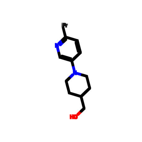 CC(C)c1ccc(N2CCC(CO)CC2)cn1